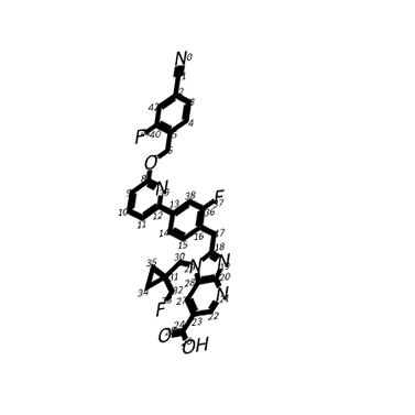 N#Cc1ccc(COc2cccc(-c3ccc(Cc4nc5ncc(C(=O)O)cc5n4CC4(CF)CC4)c(F)c3)n2)c(F)c1